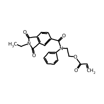 C=CC(=O)OCCN(C(=O)c1ccc2c(c1)C(=O)N(CC)C2=O)c1ccccc1